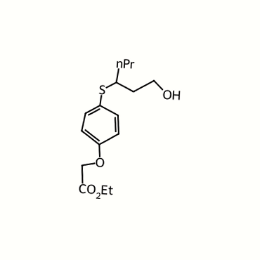 CCCC(CCO)Sc1ccc(OCC(=O)OCC)cc1